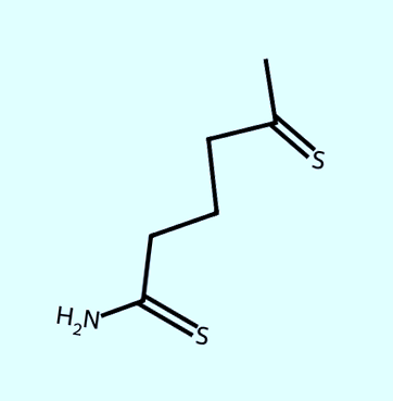 CC(=S)CCCC(N)=S